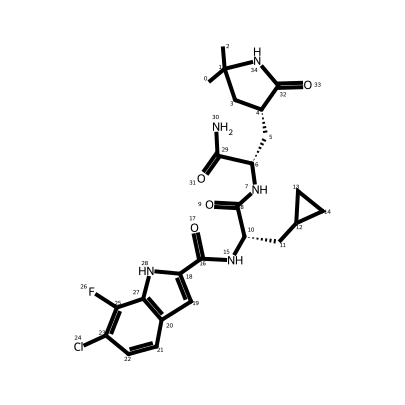 CC1(C)C[C@@H](C[C@H](NC(=O)[C@H](CC2CC2)NC(=O)c2cc3ccc(Cl)c(F)c3[nH]2)C(N)=O)C(=O)N1